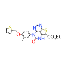 CCOC(=O)c1sc2ncnc3c2c1NC(=O)N3c1ccc(OCc2cccs2)c(C)c1